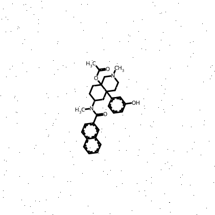 CC(=O)OC12CCC(N(C)C(=O)c3ccc4ccccc4c3)CC1(c1cccc(O)c1)CCN(C)C2